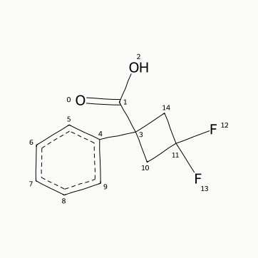 O=C(O)C1(c2ccccc2)CC(F)(F)C1